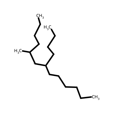 CCCCCCC([CH]C(C)CCCC)CCCC